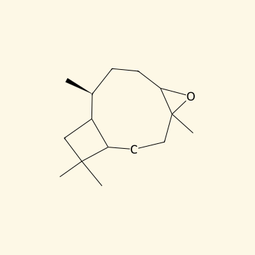 C[C@H]1CCC2OC2(C)CCC2C1CC2(C)C